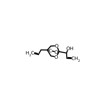 C=CCC12COC(C(O)C=C)(OC1)OC2